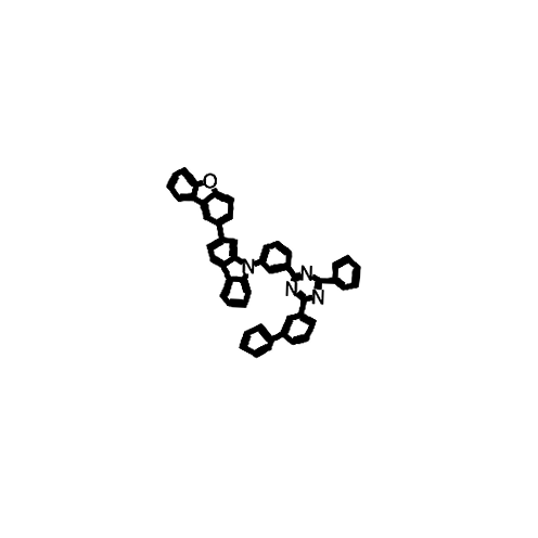 c1ccc(-c2cccc(-c3nc(-c4ccccc4)nc(-c4cccc(-n5c6ccccc6c6ccc(-c7ccc8oc9ccccc9c8c7)cc65)c4)n3)c2)cc1